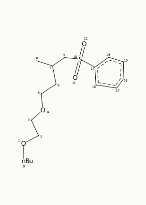 CCCCOCCOCCC(C)CS(=O)(=O)c1ccccc1